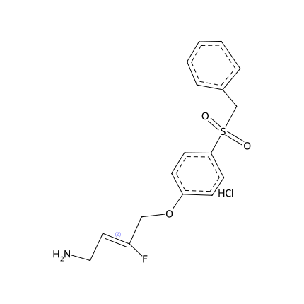 Cl.NC/C=C(\F)COc1ccc(S(=O)(=O)Cc2ccccc2)cc1